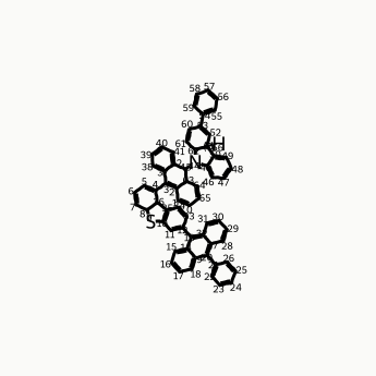 C1=CC2=C(C3=CC=CC4Sc5cc(-c6c7ccccc7c(-c7ccccc7)c7ccccc67)ccc5C34)c3ccccc3C(N3c4ccccc4[C@H]4C=C(c5ccccc5)C=CC43)C2C=C1